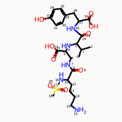 CC(C)C(NC(CNC(=O)C(CCCCN)NS(C)(=O)=O)C(=O)O)C(=O)NC(Cc1ccc(O)cc1)C(=O)O